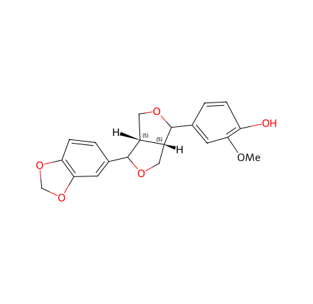 COc1cc(C2OC[C@H]3C(c4ccc5c(c4)OCO5)OC[C@@H]23)ccc1O